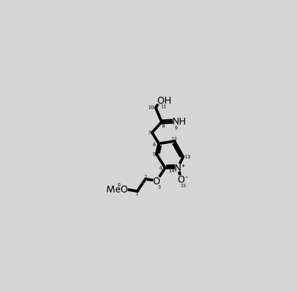 COCCOc1cc(CC(=N)CO)cc[n+]1[O-]